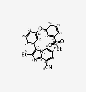 CCc1nc2c(C#N)cccn2c1C1C=C(OC2C=C(S(=O)(=O)CC)C=CC2)C=CC1